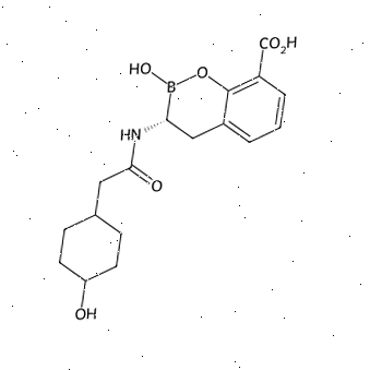 O=C(CC1CCC(O)CC1)N[C@H]1Cc2cccc(C(=O)O)c2OB1O